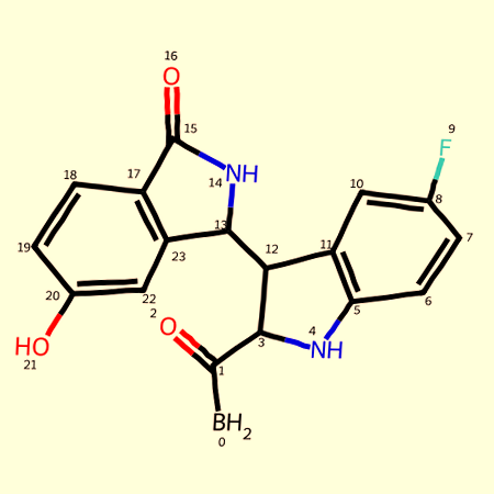 BC(=O)C1Nc2ccc(F)cc2C1C1NC(=O)c2ccc(O)cc21